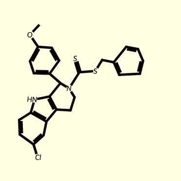 COc1ccc(C2c3[nH]c4ccc(Cl)cc4c3CCN2C(=S)SCc2ccccc2)cc1